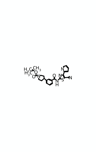 CC(C)(C)OC(=O)N1CCC(c2cccc(C(=O)Nc3nc(-c4ccccn4)c(C#N)s3)c2)CC1